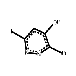 CC(C)c1nnc(I)cc1O